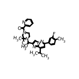 Cc1ccc(-c2cc(C(C)C)c3nc(C(=O)N4CCN(C(=O)c5ccccn5)CC4(C)C)cn3n2)cc1F